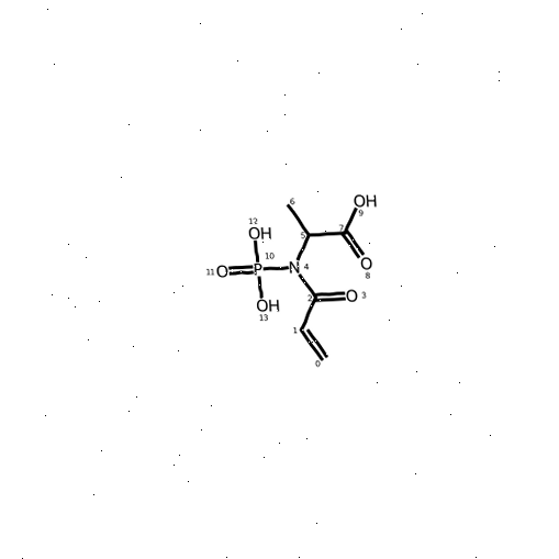 C=CC(=O)N(C(C)C(=O)O)P(=O)(O)O